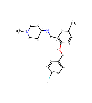 Cc1ccc(OCc2ccc(F)cc2)c(CNC2CCN(C)CC2)c1